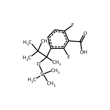 CC(C)(C)C(C)(O[Si](C)(C)C)c1ccc(F)c(C(=O)O)c1F